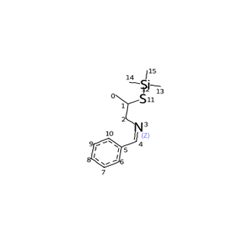 CC(C/N=C\c1ccccc1)S[Si](C)(C)C